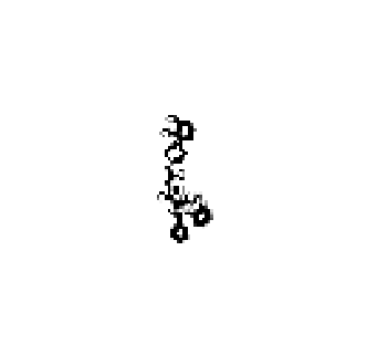 Cc1ccccc1-n1c(-c2ccccc2)nc(C(=O)NCC(O)CN2CCN(c3cccc(Cl)c3Cl)CC2)c1C